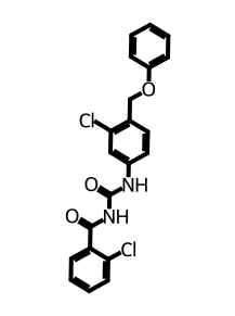 O=C(NC(=O)c1ccccc1Cl)Nc1ccc(COc2ccccc2)c(Cl)c1